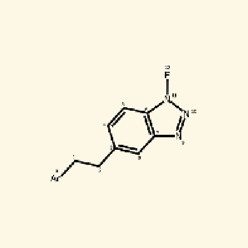 CC(=O)CCc1ccc2c(c1)nnn2F